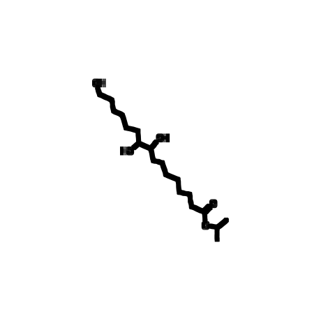 CC(C)OC(=O)CCCCCCCC(O)C(O)CCCCCCO